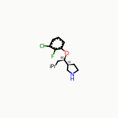 CC(C)C[C@@H](Oc1cccc(Cl)c1F)[C@H]1CCNC1